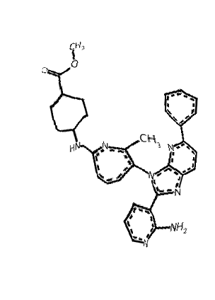 COC(=O)C1CCC(Nc2ccc(-n3c(-c4cccnc4N)nc4ccc(-c5ccccc5)nc43)c(C)n2)CC1